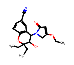 CCOC1=CC(=O)N(C2c3cc(C#N)ccc3OC(CC)(CC)C2O)C1